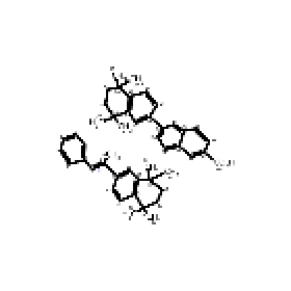 C/C(=C\c1ccccc1)c1ccc2c(c1)C(C)(C)CCC2(C)C.CC1(C)CCC(C)(C)c2cc(-c3ccc4cc(C(=O)O)ccc4c3)ccc21